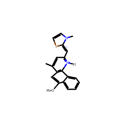 CC[n+]1c(/C=C2\SC=CN2C)cc(C)c2cc(OC)c3ccccc3c21